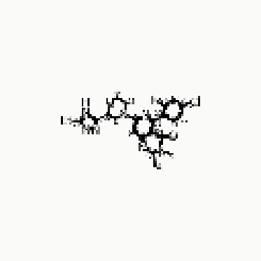 CCc1nnc([C@@H]2CN(c3cc4nc(C)n(C)c(=O)c4c(-c4ccc(Cl)cc4F)n3)CCO2)[nH]1